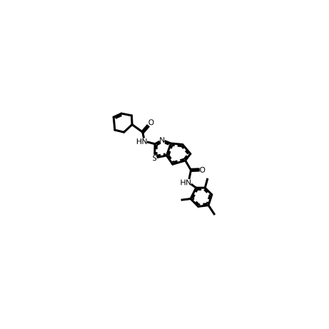 Cc1cc(C)c(NC(=O)c2ccc3nc(NC(=O)C4CC=CCC4)sc3c2)c(C)c1